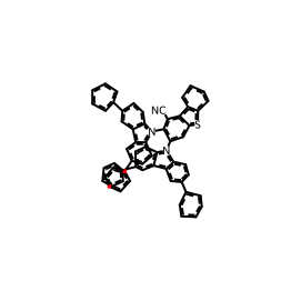 N#Cc1c(-n2c3ccc(-c4ccccc4)cc3c3cc(-c4ccccc4)ccc32)c(-n2c3ccc(-c4ccccc4)cc3c3cc(-c4ccccc4)ccc32)cc2sc3ccccc3c12